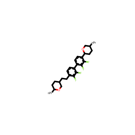 CCCC1CCC(c2ccc(-c3ccc(CCC4CCC(CCC)OC4)c(F)c3F)c(F)c2F)OC1